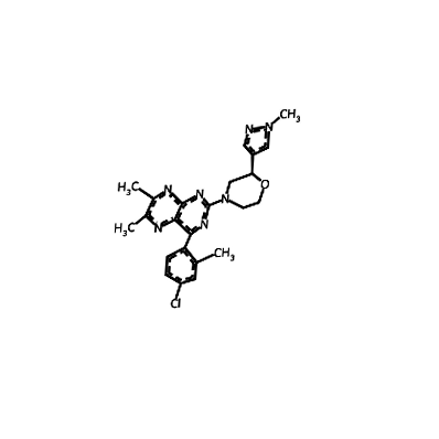 Cc1cc(Cl)ccc1-c1nc(N2CCOC(c3cnn(C)c3)C2)nc2nc(C)c(C)nc12